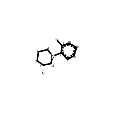 [CH2][C@@H]1CCCN(c2ccccc2C)C1